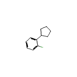 Fc1ccccc1C1CCCC1